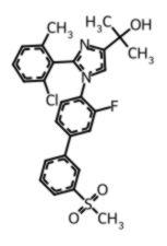 Cc1cccc(Cl)c1-c1nc(C(C)(C)O)cn1-c1ccc(-c2cccc(S(C)(=O)=O)c2)cc1F